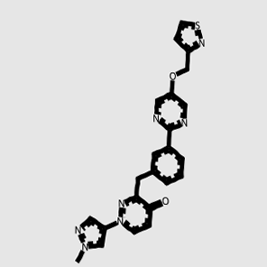 Cn1cc(-n2ccc(=O)c(Cc3cccc(-c4ncc(OCc5ccsn5)cn4)c3)n2)cn1